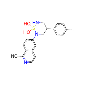 Cc1ccc(C2CNS(O)(O)N(c3ccc4c(C#N)nccc4c3)C2)cc1